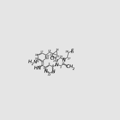 C=C1CN(c2cc(C(=N)c3cc(CC4(C)CC4)ccc3N)ncn2)CCN1CCF